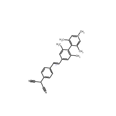 Cc1cc(/C=C/c2ccc(C(C#N)C#N)cc2)cc(C)c1-c1c(C)c[n+](C)cc1C